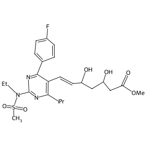 CCN(c1nc(-c2ccc(F)cc2)c(C=CC(O)CC(O)CC(=O)OC)c(C(C)C)n1)S(C)(=O)=O